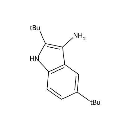 CC(C)(C)c1ccc2[nH]c(C(C)(C)C)c(N)c2c1